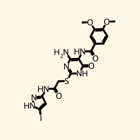 COc1ccc(C(=O)Nc2c(N)nc(SCC(=O)Nc3cc(I)[nH]n3)[nH]c2=O)cc1OC